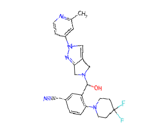 Cc1cc(-n2cc3c(n2)CN(C(O)c2cc(C#N)ccc2N2CCC(F)(F)CC2)C3)ccn1